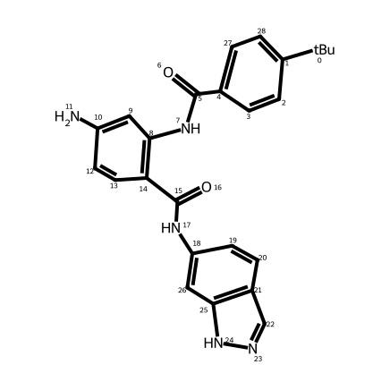 CC(C)(C)c1ccc(C(=O)Nc2cc(N)ccc2C(=O)Nc2ccc3cn[nH]c3c2)cc1